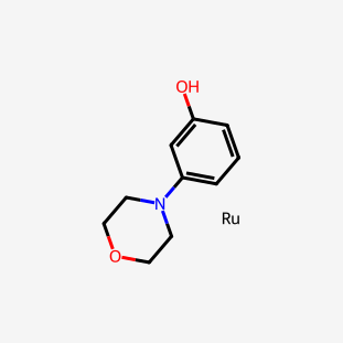 Oc1cccc(N2CCOCC2)c1.[Ru]